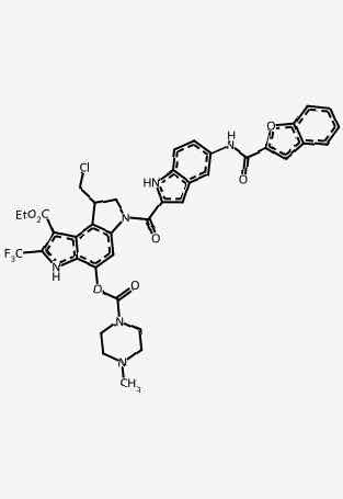 CCOC(=O)c1c(C(F)(F)F)[nH]c2c(OC(=O)N3CCN(C)CC3)cc3c(c12)C(CCl)CN3C(=O)c1cc2cc(NC(=O)c3cc4ccccc4o3)ccc2[nH]1